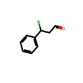 O=CCC(Br)c1ccccc1